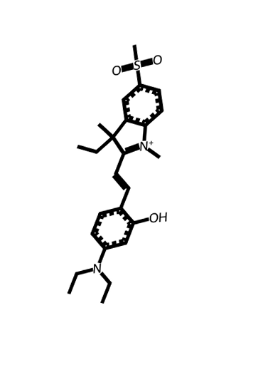 CCN(CC)c1ccc(/C=C/C2=[N+](C)c3ccc(S(C)(=O)=O)cc3C2(C)CC)c(O)c1